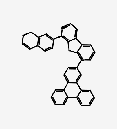 C1=Cc2ccc(-c3cccc4c3sc3c(-c5ccc6c7ccccc7c7ccccc7c6c5)cccc34)cc2CC1